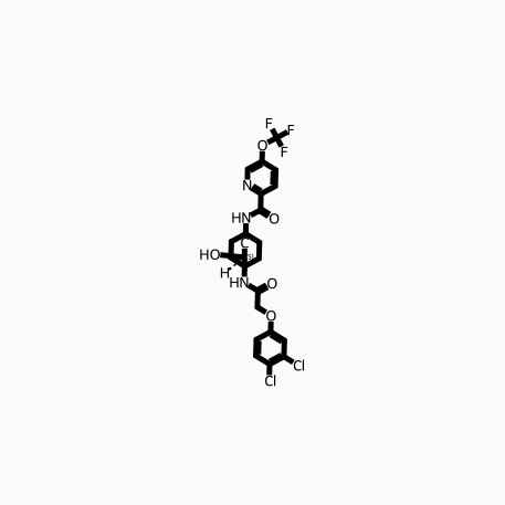 O=C(COc1ccc(Cl)c(Cl)c1)NC12CCC(NC(=O)c3ccc(OC(F)(F)F)cn3)(CC1)C[C@@H]2O